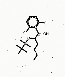 CCCCC(O[Si](C)(C)C(C)(C)C)[C@@H](O)c1c(Cl)cccc1Cl